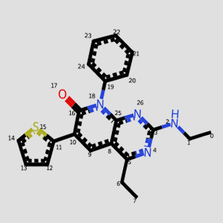 CCNc1nc(CC)c2cc(-c3cccs3)c(=O)n(-c3ccccc3)c2n1